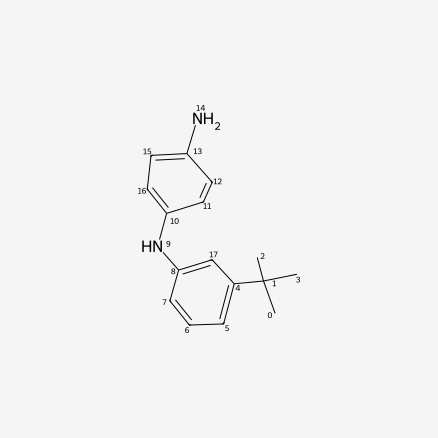 CC(C)(C)c1cccc(Nc2ccc(N)cc2)c1